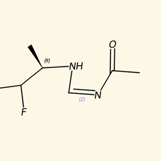 CC(=O)/N=C\N[C@H](C)C(C)F